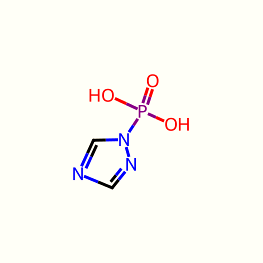 O=P(O)(O)n1cncn1